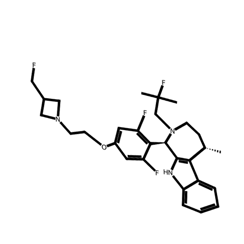 C[C@H]1CCN(CC(C)(C)F)[C@H](c2c(F)cc(OCCN3CC(CF)C3)cc2F)c2[nH]c3ccccc3c21